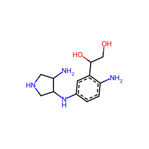 Nc1ccc(NC2CNCC2N)cc1C(O)CO